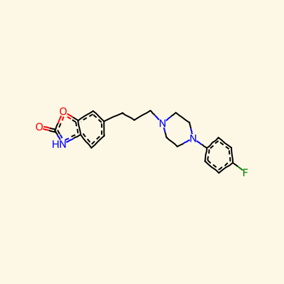 O=c1[nH]c2ccc(CCCN3CCN(c4ccc(F)cc4)CC3)cc2o1